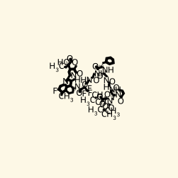 CC[C@@]1(O)C(=O)OCc2c1cc1n(c2=O)Cc2c-1nc1cc(F)c(C)c3c1c2[C@@H](NC(=O)[C@H](OCNC(=O)CNC(=O)[C@H](Cc1ccccc1)NC(=O)CNC(=O)CNC(=O)[C@H](CN(CC(=O)OC(C)(C)C)C(=O)OC(C)(C)C)N1C(=O)C=CC1=O)C(F)(F)F)CC3